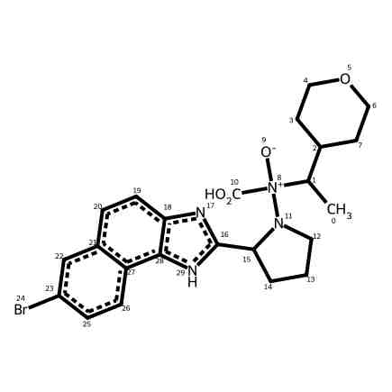 CC(C1CCOCC1)[N+]([O-])(C(=O)O)N1CCCC1c1nc2ccc3cc(Br)ccc3c2[nH]1